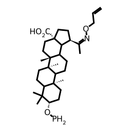 C=CCO/N=C(/C)[C@@H]1CC[C@]2(C(=O)O)CC[C@]3(C)C(CCC4[C@@]5(C)CC[C@H](OP)C(C)(C)C5CC[C@]43C)C12